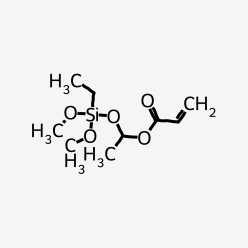 C=CC(=O)OC(C)O[Si](CC)(OC)OC